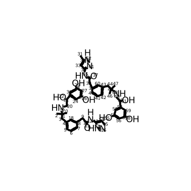 CC(C)(Cc1cccc(CC(=O)Nc2ccn[nH]2)c1)NCC(O)c1cc(O)cc(O)c1.Cc1cc(NC(=O)Cc2cccc(CC(C)(C)NCC(O)c3cc(O)cc(O)c3)c2)n[nH]1